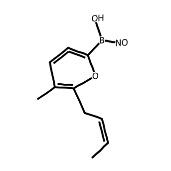 C/C=C\CC1=C(C)C=C=C(B(O)N=O)O1